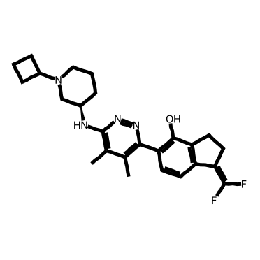 Cc1c(N[C@@H]2CCCN(C3CCC3)C2)nnc(-c2ccc3c(c2O)CCC3=C(F)F)c1C